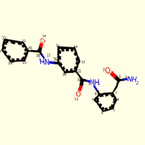 NC(=O)c1ccccc1NC(=O)c1cccc(NC(=O)c2ccccc2)c1